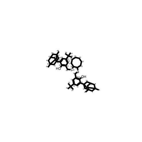 CC12CC3CC(C)(C1)CC(c1cc(C(C)(C)C)cc(CSC4CCCCCCC4SCc4cc(C(C)(C)C)cc(C56CC7CC(C)(CC(C)(C7)C5)C6)c4O)c1O)(C3)C2